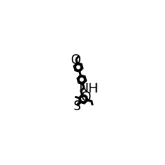 CCc1cc(=S)c(C)c(CNc2ccc(-c3ccc(OC)cc3)cc2)o1